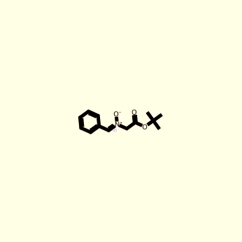 CC(C)(C)OC(=O)C/[N+]([O-])=C/c1ccccc1